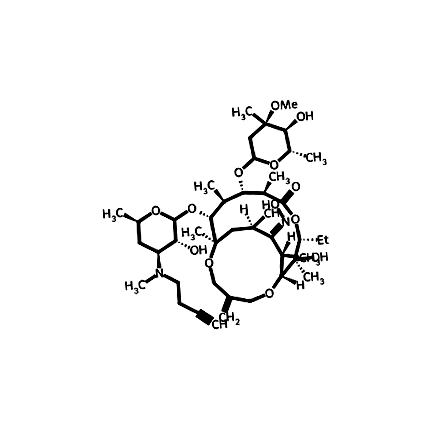 C#CCCN(C)[C@H]1C[C@@H](C)OC(O[C@@H]2[C@@H](C)[C@H](OC3C[C@@](C)(OC)[C@@H](O)[C@H](C)O3)[C@@H](C)C(=O)O[C@H](CC)[C@@](C)(O)[C@@H]3OCC(=C)CO[C@]2(C)C[C@@H](C)/C(=N\O)[C@@H]3C)[C@@H]1O